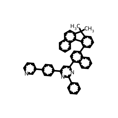 CC1(C)c2cccc(-c3ccc(-c4cc(-c5ccc(-c6cccnc6)cc5)nc(-c5ccccc5)n4)c4ccccc34)c2-c2c1ccc1ccccc21